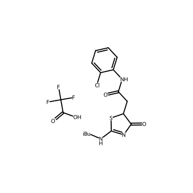 CCC(C)NC1=NC(=O)C(CC(=O)Nc2ccccc2Cl)S1.O=C(O)C(F)(F)F